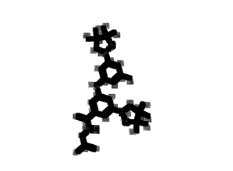 C=C(C)CNC(=C)c1cc(Sc2cc(C)cc(B3CC(C)(C)C(C)(C)O3)c2)cc(B2CC(C)(C)C(C)(C)O2)c1